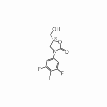 O=C1O[C@@H](CO)CN1c1cc(F)c(I)c(F)c1